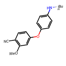 CC[C@@H](C)Nc1ccc(Oc2ccc(C#N)c(OC)c2)cc1